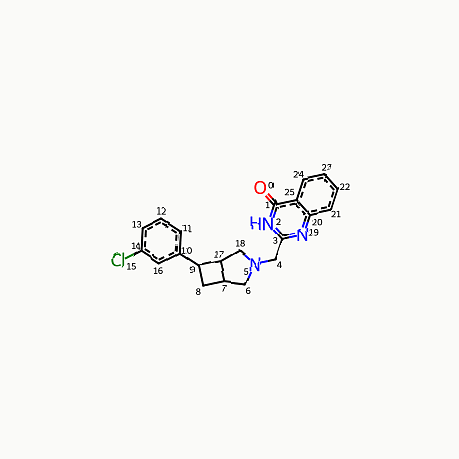 O=c1[nH]c(CN2CC3CC(c4cccc(Cl)c4)C3C2)nc2ccccc12